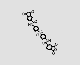 O=C(Nc1ccc(S(=O)(=O)c2ccc(NC(=O)c3ccc4c(c3)C(=O)OC4=O)cc2)cc1)c1ccc2c(c1)C(=O)CC2=O